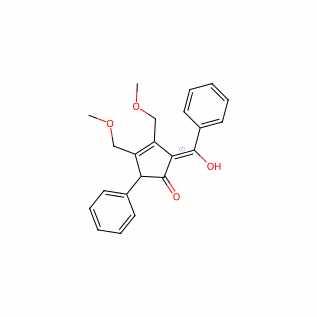 COCC1=C(COC)C(c2ccccc2)C(=O)/C1=C(\O)c1ccccc1